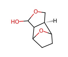 OC1OC[C@H]2C3CCC(O3)C12